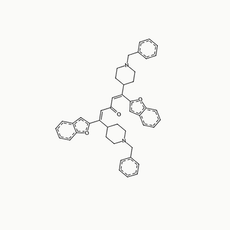 O=C(C=C(c1cc2ccccc2o1)C1CCN(Cc2ccccc2)CC1)C=C(c1cc2ccccc2o1)C1CCN(Cc2ccccc2)CC1